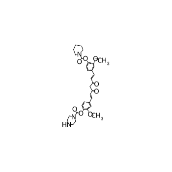 COc1cc(/C=C/C(=O)CC(=O)/C=C/c2ccc(OC(=O)N3CCNCC3)c(OC)c2)ccc1OC(=O)N1CCCCC1